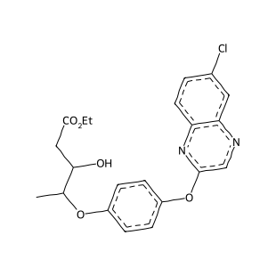 CCOC(=O)CC(O)C(C)Oc1ccc(Oc2cnc3cc(Cl)ccc3n2)cc1